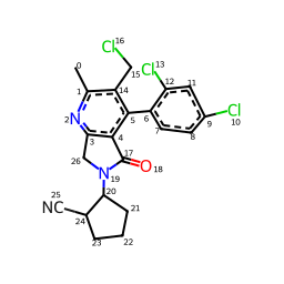 Cc1nc2c(c(-c3ccc(Cl)cc3Cl)c1CCl)C(=O)N(C1CCCC1C#N)C2